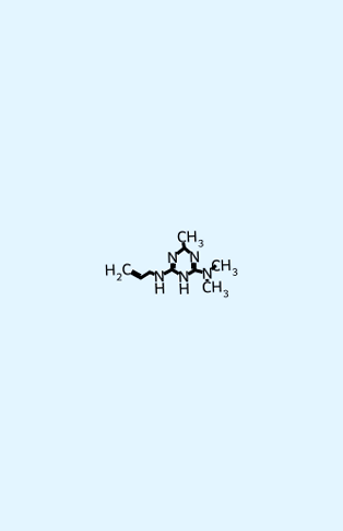 C=CCNC1=NC(C)N=C(N(C)C)N1